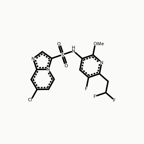 COc1nc(CC(F)F)c(F)cc1NS(=O)(=O)c1cnc2cc(Cl)ccn12